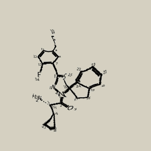 N[C@H](C(=O)N1N=C(c2cc(F)ccc2F)SC12CCc1ccccc12)C1CC1